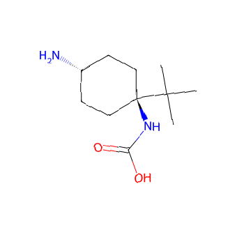 CC(C)(C)[C@]1(NC(=O)O)CC[C@H](N)CC1